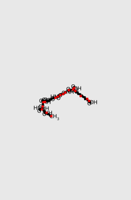 CCCCNC(=O)CC[C@H](NC(=O)CCC(NC(=O)COCCOCCNC(=O)COCCOCCNC(=O)CC[C@H](NC(=O)CCCCCCCCCCCCC(=O)O)C(=O)O)C(=O)O)C(=O)O